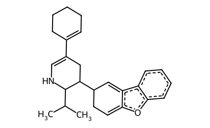 CC(C)C1NC=C(C2=CCCCC2)CC1C1C=c2c(oc3ccccc23)=CC1